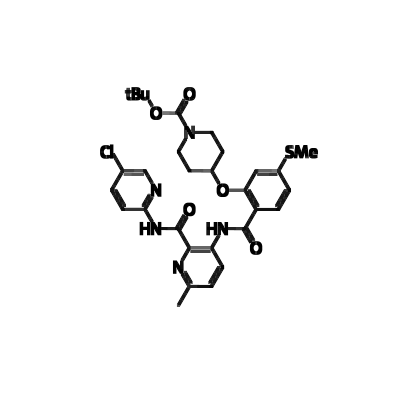 CSc1ccc(C(=O)Nc2ccc(C)nc2C(=O)Nc2ccc(Cl)cn2)c(OC2CCN(C(=O)OC(C)(C)C)CC2)c1